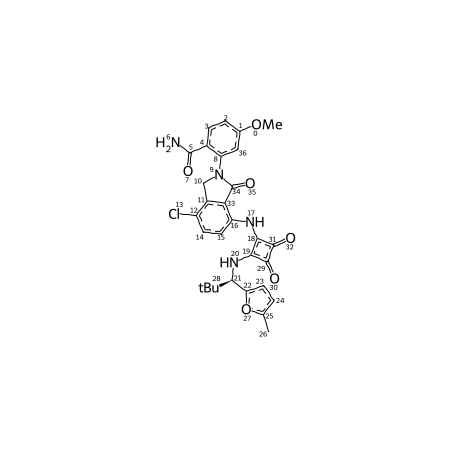 COc1ccc(C(N)=O)c(N2Cc3c(Cl)ccc(Nc4c(N[C@@H](c5ccc(C)o5)C(C)(C)C)c(=O)c4=O)c3C2=O)c1